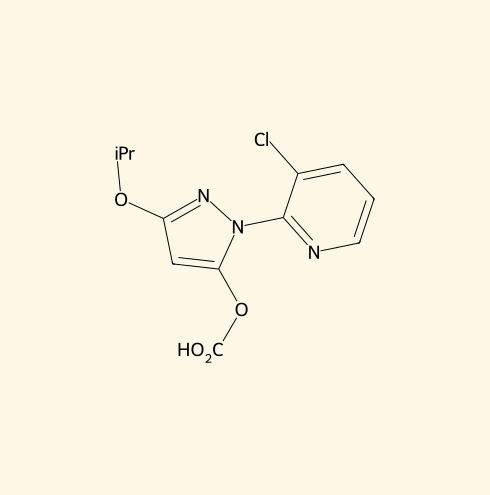 CC(C)Oc1cc(OC(=O)O)n(-c2ncccc2Cl)n1